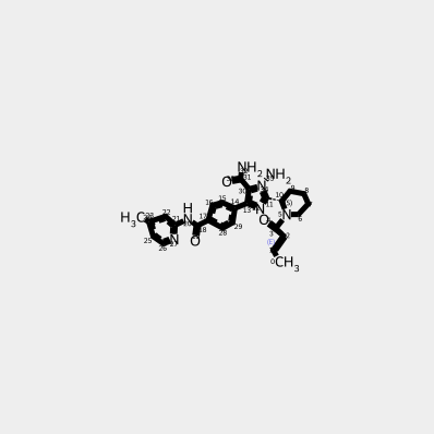 C/C=C/C(=O)N1CCCC[C@H]1c1nc(-c2ccc(C(=O)Nc3cc(C)ccn3)cc2)c(C(N)=O)n1N